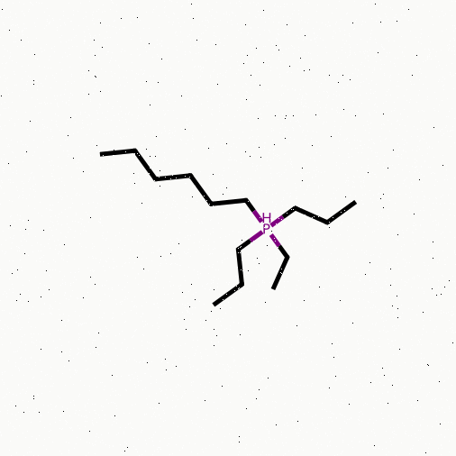 CCCCCC[PH](CC)(CCC)CCC